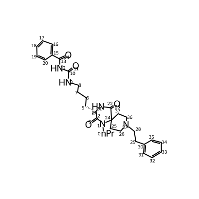 CCCN1C(=O)[C@H](CCCCNC(=O)NC(=O)c2ccccc2)NC(=O)C12CCN(CCc1ccccc1)CC2